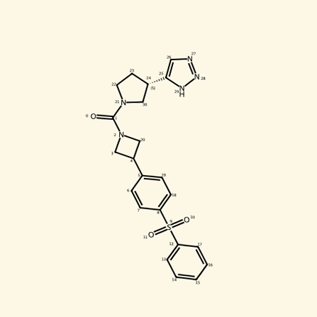 O=C(N1CC(c2ccc(S(=O)(=O)c3ccccc3)cc2)C1)N1CC[C@H](c2cnn[nH]2)C1